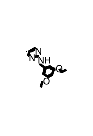 CCOc1cc(CNc2nc[c]cn2)cc(OCC)c1